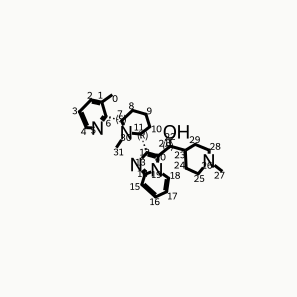 Cc1cccnc1[C@@H]1CCC[C@H](c2nc3ccccn3c2[C@@H](O)C2CCN(C)CC2)N1C